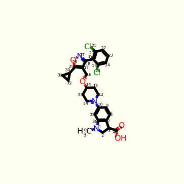 CN1CC(C(=O)O)c2ccc(N3CCC(OCc4c(-c5c(Cl)cccc5Cl)noc4C4CC4)CC3)cc21